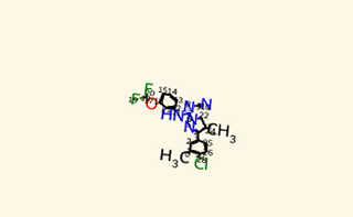 Cc1cc(C2=NN(/C(=N\C#N)Nc3cccc(OC(F)F)c3)CC2C)ccc1Cl